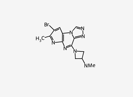 CNC1CN(c2nc3nc(C)c(Br)cc3n3cnnc23)C1